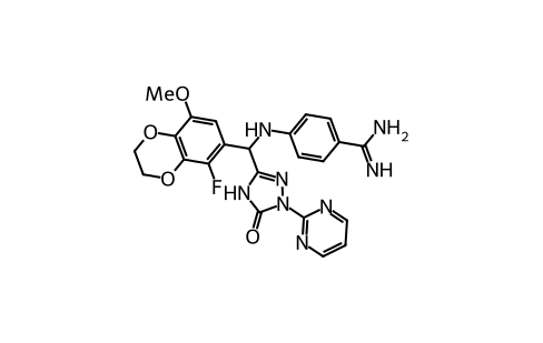 COc1cc(C(Nc2ccc(C(=N)N)cc2)c2nn(-c3ncccn3)c(=O)[nH]2)c(F)c2c1OCCO2